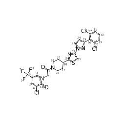 O=C(Cn1cc(C(F)(F)F)cc(Cl)c1=O)N1CCC(c2nc(-n3ccc(-c4c(Cl)cccc4Cl)n3)cs2)CC1